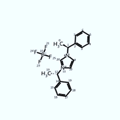 C[C@@H](c1ccccc1)n1cc[n+]([C@@H](C)c2ccccc2)c1.F[B-](F)(F)F